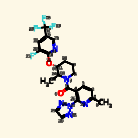 Cc1ccc(C(=O)N2CCC[C@@H](Oc3ncc(C(F)(F)F)cc3F)[C@@H]2C)c(-n2nccn2)n1